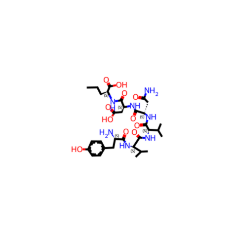 CCC[C@H](NC(=O)[C@H](CC(=O)O)NC(=O)[C@H](CC(N)=O)NC(=O)[C@@H](NC(=O)[C@@H](NC(=O)[C@@H](N)Cc1ccc(O)cc1)C(C)C)C(C)C)C(=O)O